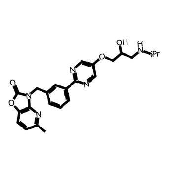 Cc1ccc2oc(=O)n(Cc3cccc(-c4ncc(OCC(O)CNC(C)C)cn4)c3)c2n1